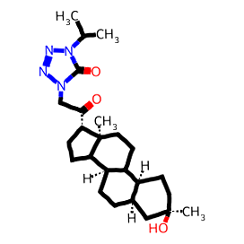 CC(C)n1nnn(CC(=O)[C@H]2CCC3[C@@H]4CC[C@@H]5C[C@](C)(O)CC[C@@H]5C4CC[C@@]32C)c1=O